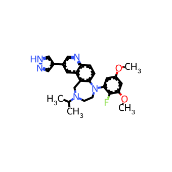 COc1cc(OC)c(F)c(N2CCN(C(C)C)Cc3c2ccc2ncc(-c4cn[nH]c4)cc32)c1